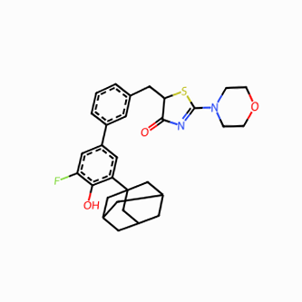 O=C1N=C(N2CCOCC2)SC1Cc1cccc(-c2cc(F)c(O)c(C34CC5CC(CC(C5)C3)C4)c2)c1